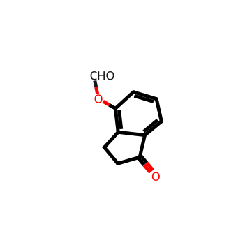 O=COc1cccc2c1CCC2=O